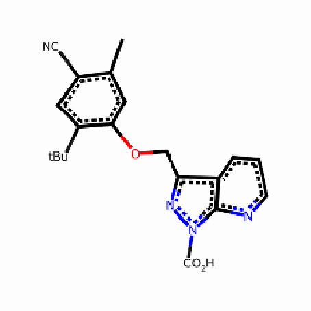 Cc1cc(OCc2nn(C(=O)O)c3ncccc23)c(C(C)(C)C)cc1C#N